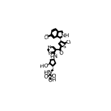 O=C(c1cc([C@H]2NCc3ccc(Cl)cc32)c(Cl)s1)c1cncnc1N[C@@H]1C[C@H](CNS(=O)(=O)O)[C@@H](O)C1